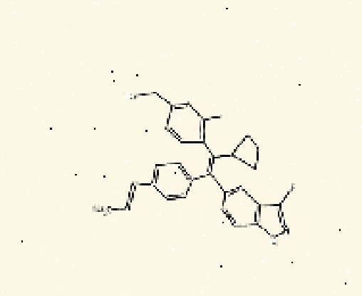 Cc1cc(CO)ccc1C(=C(c1ccc(C=CC(=O)O)cc1)c1ccc2[nH]nc(F)c2c1)C1CCC1